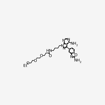 CCOCCOCCOCCC(=O)NCCCCn1nc(-c2ccc3oc(N)nc3c2)c2c(N)ncnc21